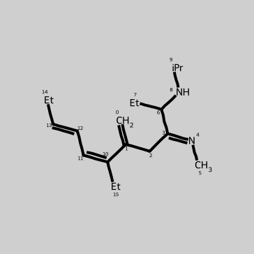 C=C(C/C(=N\C)C(CC)NC(C)C)/C(=C\C=C\CC)CC